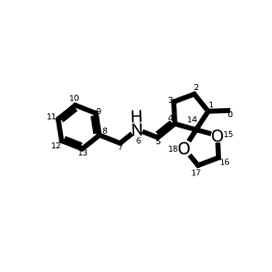 CC1CC/C(=C\NCc2ccccc2)C12OCCO2